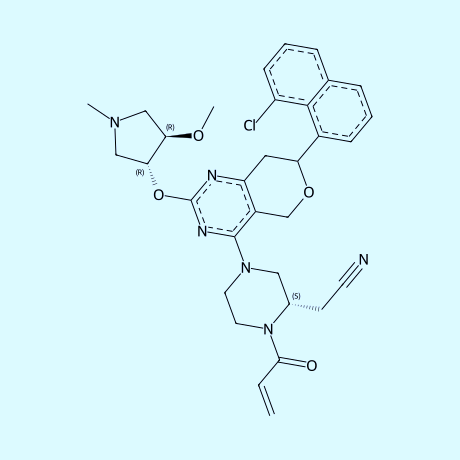 C=CC(=O)N1CCN(c2nc(O[C@@H]3CN(C)C[C@H]3OC)nc3c2COC(c2cccc4cccc(Cl)c24)C3)C[C@@H]1CC#N